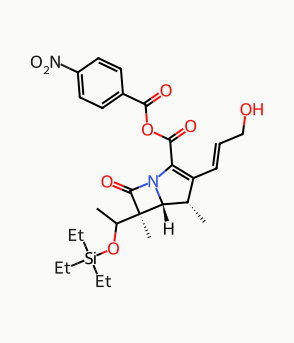 CC[Si](CC)(CC)OC(C)[C@@]1(C)C(=O)N2C(C(=O)OC(=O)c3ccc([N+](=O)[O-])cc3)=C(/C=C/CO)[C@H](C)[C@@H]21